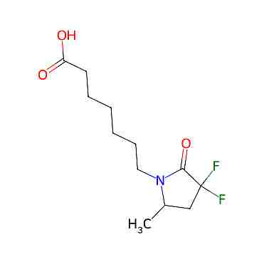 CC1CC(F)(F)C(=O)N1CCCCCCC(=O)O